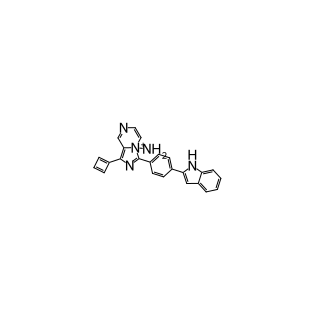 N[N+]12C=CN=CC1=C(C1=CC=C1)N=C2c1ccc(-c2cc3ccccc3[nH]2)cc1